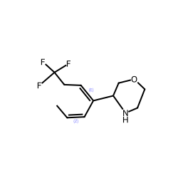 C/C=C\C(=C/CC(F)(F)F)C1COCCN1